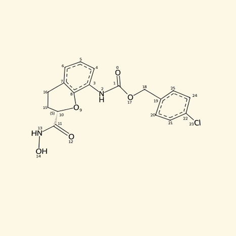 O=C(Nc1cccc2c1O[C@H](C(=O)NO)CC2)OCc1ccc(Cl)cc1